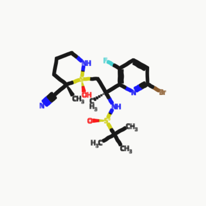 CC(C)(C)[S@@+]([O-])N[C@@](C)(C[S@@]1(O)NCCC[C@@]1(C)C#N)c1nc(Br)ccc1F